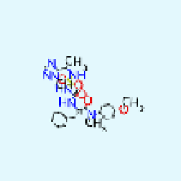 COc1ccc(N(C)C(=O)[C@H](Cc2ccccc2)NC(=O)NS(=O)(=O)NC(C)c2ncnn2C)cc1